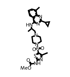 COC(=O)Nc1nc(C)c(S(=O)(=O)N2CCN(CC(C)Nc3nc(C4CC4)nc4c(C)cccc34)CC2)s1